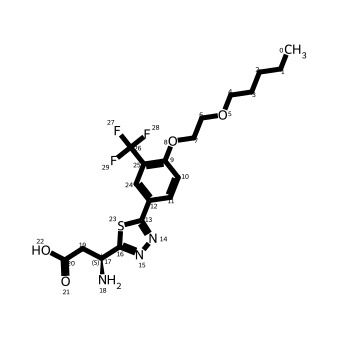 CCCCCOCCOc1ccc(-c2nnc([C@@H](N)CC(=O)O)s2)cc1C(F)(F)F